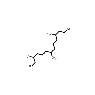 CC(=O)CCC(C)CCCC(C)CCCC(C)CBr